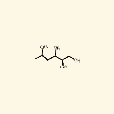 CC(O)[CH]C(O)C(O)CO